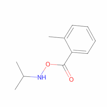 Cc1ccccc1C(=O)ONC(C)C